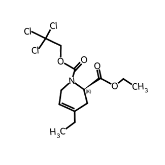 CCOC(=O)[C@H]1CC(CC)=CCN1C(=O)OCC(Cl)(Cl)Cl